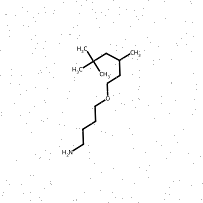 CC(CCOCCCCN)CC(C)(C)C